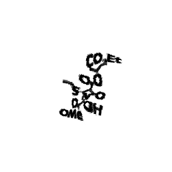 C=CS[C@@H]1C(C(=O)OC(C)CC(=O)OCC)C(=O)N1C(O)C(=O)OC